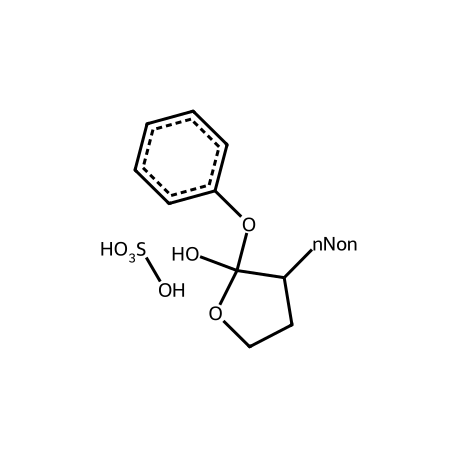 CCCCCCCCCC1CCOC1(O)Oc1ccccc1.O=S(=O)(O)O